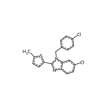 Cc1ccc(-c2nc3ccc(Cl)cc3n2Cc2ccc(Cl)cc2)s1